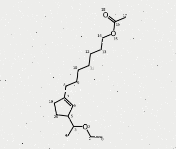 CCOC(C)C1C=C(CCCCCCCOC(C)=O)CC1